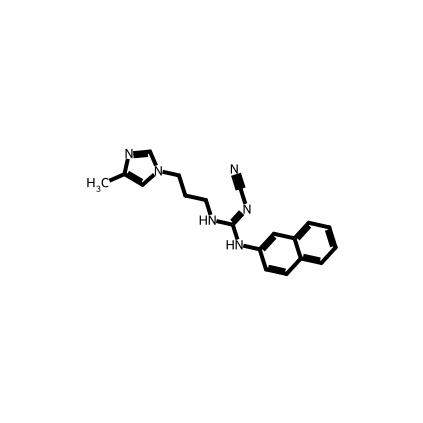 Cc1cn(CCCNC(=NC#N)Nc2ccc3ccccc3c2)cn1